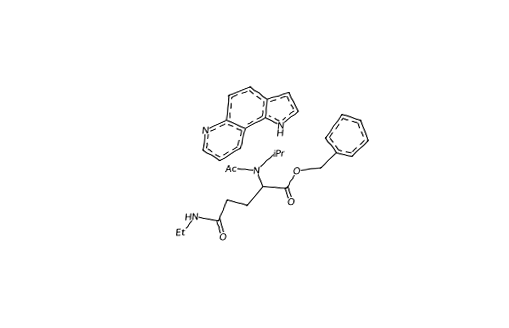 CCNC(=O)CCC(C(=O)OCc1ccccc1)N(C(C)=O)C(C)C.c1cnc2ccc3cc[nH]c3c2c1